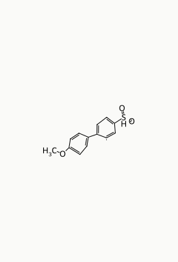 COc1ccc(-c2[c]cc([SH](=O)=O)cc2)cc1